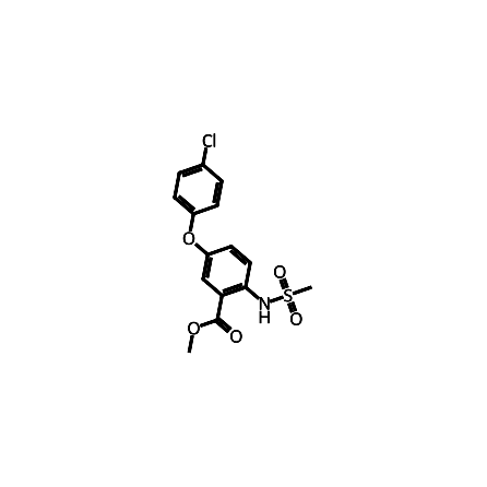 COC(=O)c1cc(Oc2ccc(Cl)cc2)ccc1NS(C)(=O)=O